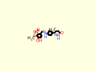 COc1c(O)ccc(/C=N\Nc2ccc(C3=NNC(=O)CC3C)cc2)c1[N+](=O)[O-]